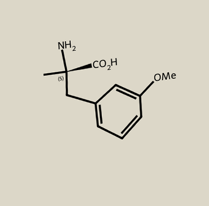 COc1cccc(C[C@](C)(N)C(=O)O)c1